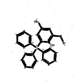 CC(C)(C)c1cc(CBr)c(O)c(S(c2ccccc2)(c2ccccc2)c2ccccc2)c1